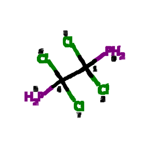 PC(Cl)(Cl)C(P)(Cl)Cl